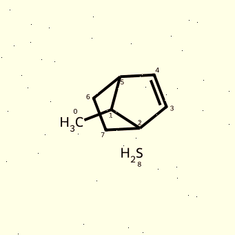 CC1C2C=CC1CC2.S